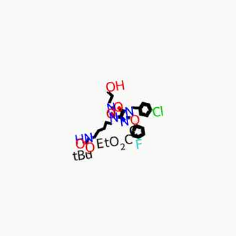 CCOC(=O)c1cc(Oc2nc3c(on(CCCO)on3CCCCCNC(=O)OC(C)(C)C)n2Cc2ccc(Cl)cc2)ccc1F